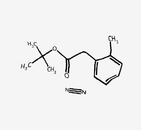 Cc1ccccc1CC(=O)OC(C)(C)C.N#N